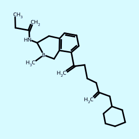 C=C(CCCC(=C)c1cccc2c1CB(C)C(NC(=C)CC)C2)CC1CCCCC1